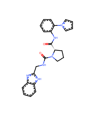 O=C(Nc1ccccc1-n1cccc1)[C@@H]1CCCN1C(=O)NCc1nc2ccccc2[nH]1